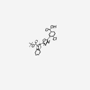 CC(C)(C)OC(=O)N[C@](C)(Cc1ccccc1)c1nnc(-c2cc(C(=O)O)ccc2Cl)o1